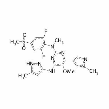 COc1c(Nc2cc(C)[nH]n2)nc(N(C)c2c(F)cc(S(C)(=O)=O)cc2F)nc1-c1cnn(C)c1